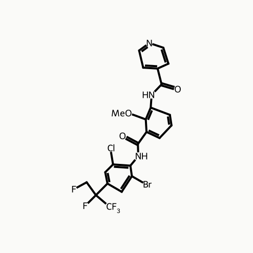 COc1c(NC(=O)c2ccncc2)cccc1C(=O)Nc1c(Cl)cc(C(F)(CF)C(F)(F)F)cc1Br